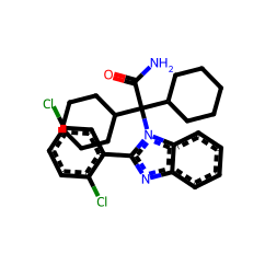 NC(=O)C(C1CCCCC1)(C1CCCCC1)n1c(-c2cc(Cl)ccc2Cl)nc2ccccc21